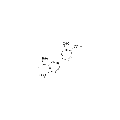 CNC(=O)c1cc(-c2ccc(C(=O)O)c(C=O)c2)ccc1C(=O)O